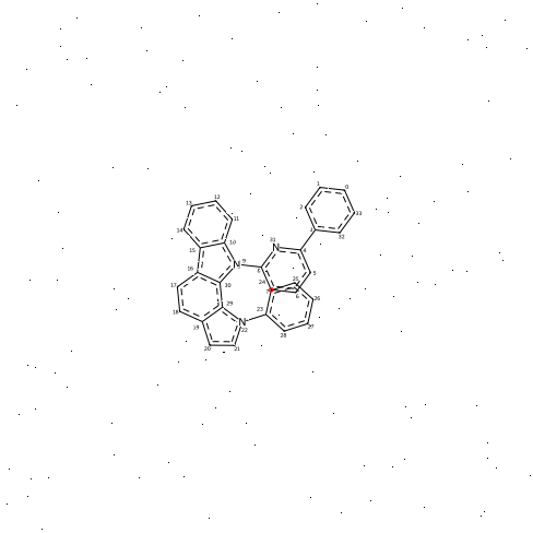 c1ccc(-c2cccc(-n3c4ccccc4c4ccc5ccn(-c6ccccc6)c5c43)n2)cc1